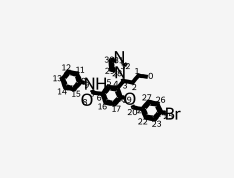 CCCC(c1cc(C(=O)Nc2ccccc2)ccc1OCc1ccc(Br)cc1)n1ccnc1